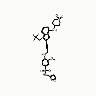 COc1cc(S(=O)(=O)Nc2ccon2)ccc1NCC#Cc1cc2c(NC3CCS(=O)(=O)CC3)cccc2n1CC(F)(F)F